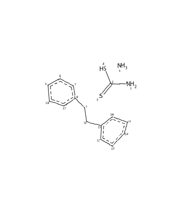 N.NC(=S)S.c1ccc(CCc2ccccc2)cc1